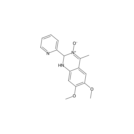 COc1cc2c(cc1OC)C(C)=[N+]([O-])C(c1ccccn1)N2